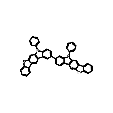 c1ccc(-n2c3ccc(-c4ccc5c6cc7oc8ccccc8c7cc6n(-c6ccccc6)c5c4)cc3c3cc4c(cc32)sc2ccccc24)cc1